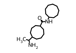 CC(N)C1CCCCC(C(=O)NC2CCCCCCCC2)CCC1